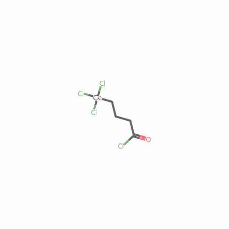 O=C(Cl)CC[CH2][Ge]([Cl])([Cl])[Cl]